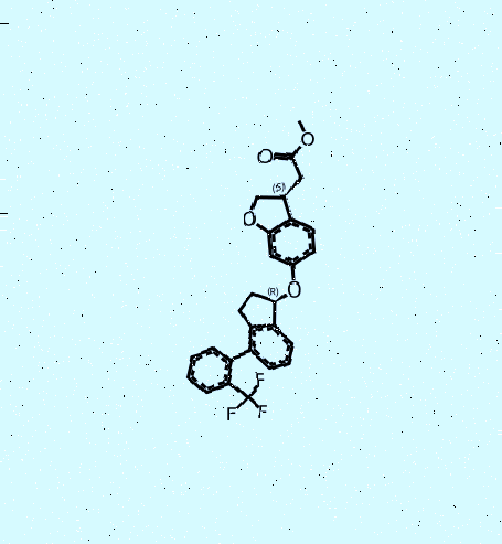 COC(=O)C[C@@H]1COc2cc(O[C@@H]3CCc4c(-c5ccccc5C(F)(F)F)cccc43)ccc21